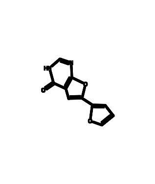 O=c1[nH]cnc2oc(-c3ccco3)cc12